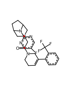 O=C(CN1CC2CCC(C1)N2c1ncc(F)cn1)N1CCC=C(c2ccccc2C(F)(F)F)C1